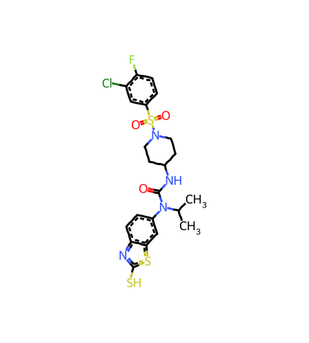 CC(C)N(C(=O)NC1CCN(S(=O)(=O)c2ccc(F)c(Cl)c2)CC1)c1ccc2nc(S)sc2c1